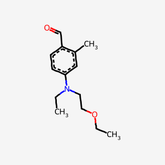 CCOCCN(CC)c1ccc(C=O)c(C)c1